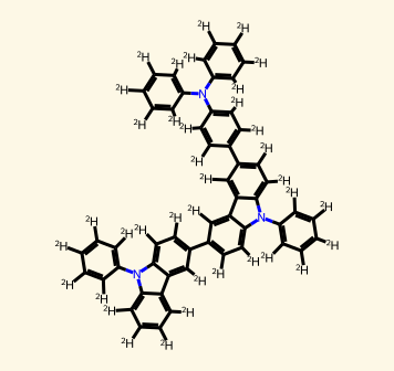 [2H]c1c([2H])c([2H])c(N(c2c([2H])c([2H])c([2H])c([2H])c2[2H])c2c([2H])c([2H])c(-c3c([2H])c([2H])c4c(c3[2H])c3c([2H])c(-c5c([2H])c([2H])c6c(c5[2H])c5c([2H])c([2H])c([2H])c([2H])c5n6-c5c([2H])c([2H])c([2H])c([2H])c5[2H])c([2H])c([2H])c3n4-c3c([2H])c([2H])c([2H])c([2H])c3[2H])c([2H])c2[2H])c([2H])c1[2H]